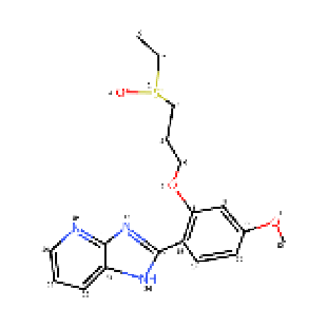 CC[S+]([O-])CCCOc1cc(OC)ccc1-c1nc2ncccc2[nH]1